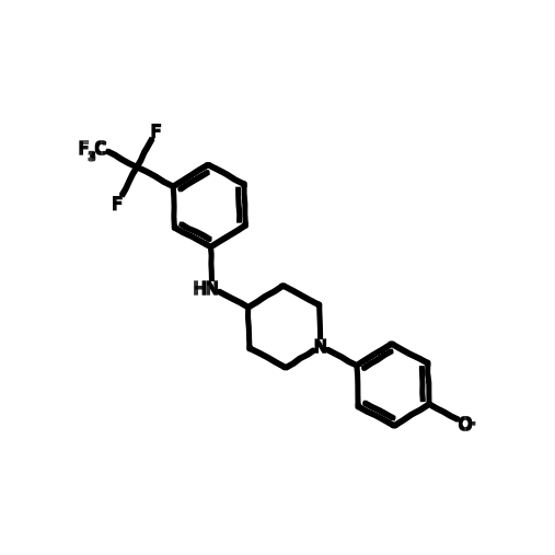 [O]c1ccc(N2CCC(Nc3cccc(C(F)(F)C(F)(F)F)c3)CC2)cc1